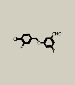 O=Cc1cc(F)cc(OCc2ccc(Cl)c(F)c2)c1